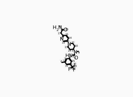 Cc1cc(NC(=O)N(C)C2CCN(c3ccc(CC(N)=O)nc3)CC2)cc(C(F)(F)F)c1